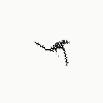 CCCCCCCCCCC#Cc1csc(C(OC(=O)/C=C\C(=O)OC(c2cc(C#CCCCCCCCCCC)cs2)[C@@H](N)CO)[C@@H](N)CO)c1